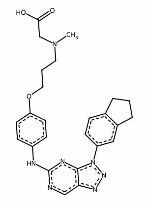 CN(CCCOc1ccc(Nc2ncc3nnn(-c4ccc5c(c4)CCC5)c3n2)cc1)CC(=O)O